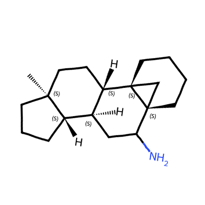 C[C@@]12CCC[C@H]1[C@@H]1CC(N)[C@]34CCCC[C@]3(C4)[C@H]1CC2